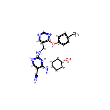 Cc1ccc(Oc2ncncc2CNc2ncc(C#N)c(N[C@H]3CC[C@@H](O)CC3)n2)cc1